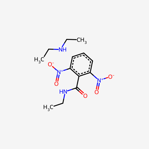 CCNC(=O)c1c([N+](=O)[O-])cccc1[N+](=O)[O-].CCNCC